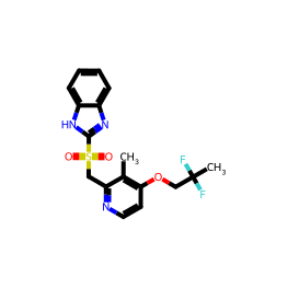 Cc1c(OCC(C)(F)F)ccnc1CS(=O)(=O)c1nc2ccccc2[nH]1